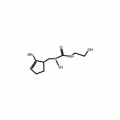 CCCCC1=CCCC1CN(S)C(=O)NCCO